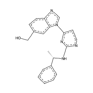 C[C@H](Nc1nccc(-n2cnc3ccc(CO)cc32)n1)c1ccccc1